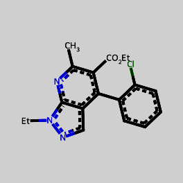 CCOC(=O)c1c(C)nc2c(cnn2CC)c1-c1ccccc1Cl